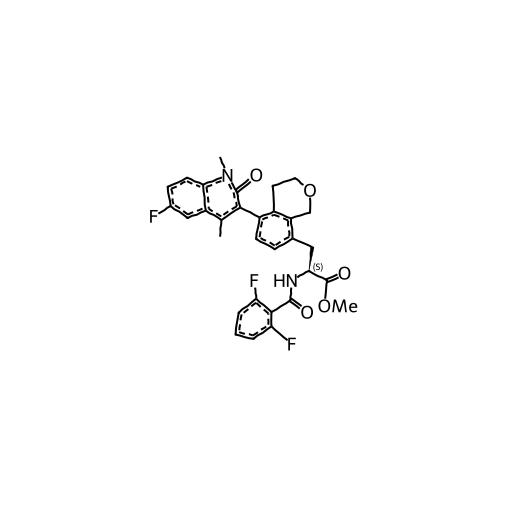 COC(=O)[C@H](Cc1ccc(-c2c(C)c3cc(F)ccc3n(C)c2=O)c2c1COCC2)NC(=O)c1c(F)cccc1F